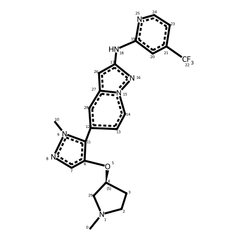 CN1CC[C@H](Oc2cnn(C)c2-c2ccn3nc(Nc4cc(C(F)(F)F)ccn4)cc3c2)C1